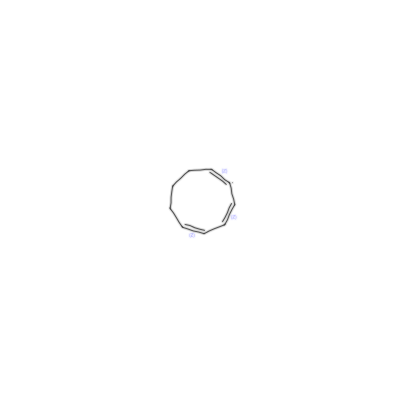 [C]1=C/CCC\C=C/C=C\1